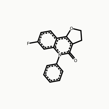 O=c1c2c(c3ccc(F)cc3n1-c1ccccc1)OCC2